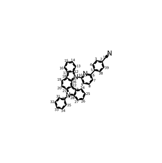 N#Cc1ccc(-c2cccc(-n3c4ccccc4c4ccc5c(c6ccccc6n5-c5ccccc5)c43)n2)cc1